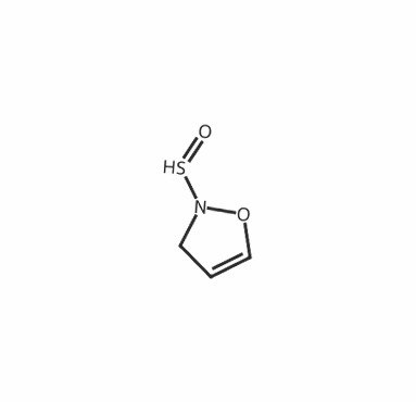 O=[SH]N1CC=CO1